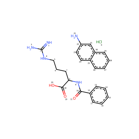 Cl.N=C(N)NCCCC(NC(=O)c1ccccc1)C(=O)O.Nc1ccc2ccccc2c1